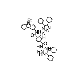 CCn1c2ccccc2c2cc(NC(=O)c3ccc(C(=O)NC4NNC(C5C=CC=CC5)C(C5CCCCC5)N4)cc3C(=O)Nc3nnc(C4=CC=CCC4)c(-c4ccccc4)n3)ccc21